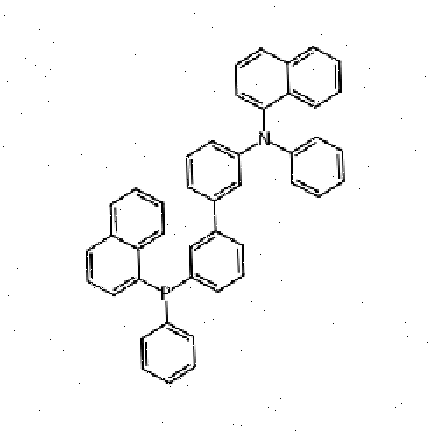 c1ccc(N(c2cccc(-c3cccc(P(c4ccccc4)c4cccc5ccccc45)c3)c2)c2cccc3ccccc23)cc1